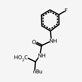 CCCCC(NC(=O)Nc1cccc(F)c1)C(=O)O